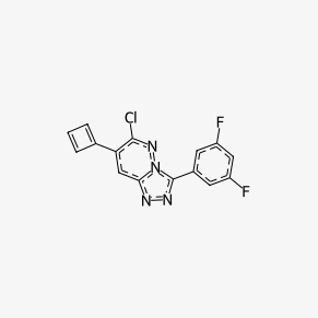 Fc1cc(F)cc(-c2nnc3cc(C4=CC=C4)c(Cl)nn23)c1